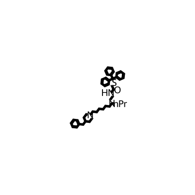 CCCN(CCCCCCN1CCC(Cc2ccccc2)CC1)CCNC(=O)CSC(c1ccccc1)(c1ccccc1)c1ccccc1